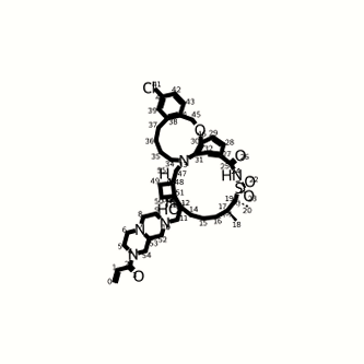 C=CC(=O)N1CCN2CCN(C[C@@]3(O)CCC[C@H](C)[C@@H](C)S(=O)(=O)NC(=O)c4ccc5c(c4)N(CCCCc4cc(Cl)ccc4CO5)C[C@@H]4CC[C@H]43)CC2C1